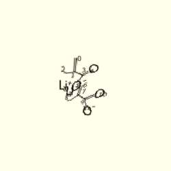 C=C(C)C(=O)[O-].C=C(C)C(=O)[O-].[Li+].[Li+]